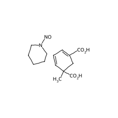 CC1(C(=O)O)C=CC=C(C(=O)O)C1.O=NN1CCCCC1